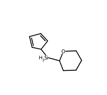 C1=CC([SiH2]C2CCCCO2)C=C1